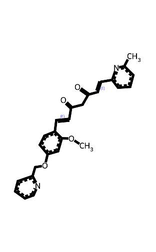 COc1cc(OCc2ccccn2)ccc1/C=C/C(=O)CC(=O)/C=C/c1cccc(C)n1